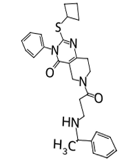 C[C@@H](NCCC(=O)N1CCc2nc(SC3CCC3)n(-c3ccccc3)c(=O)c2C1)c1ccccc1